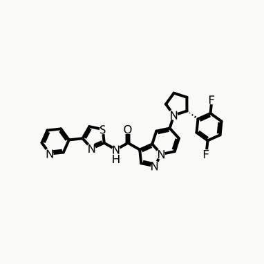 O=C(Nc1nc(-c2cccnc2)cs1)c1cnn2ccc(N3CCC[C@@H]3c3cc(F)ccc3F)cc12